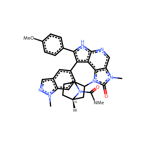 CNC(=O)N1C2CC[C@H]1CC2n1c(=O)n(C)c2cnc3[nH]c(-c4ccc(OC)cc4)c(-c4ccc5c(cnn5C)c4)c3c21